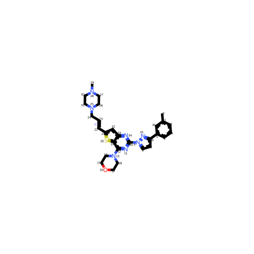 Cc1cccc(-c2ccn(-c3nc(N4CCOCC4)c4sc(/C=C/CN5CCN(C)CC5)cc4n3)n2)c1